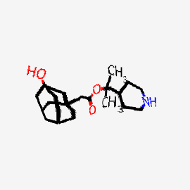 CC(C)(OC(=O)CC12CC3CC(CC(O)(C3)C1)C2)C1CCNCC1